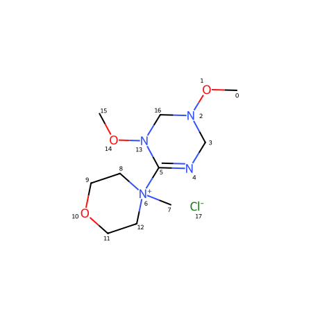 CON1CN=C([N+]2(C)CCOCC2)N(OC)C1.[Cl-]